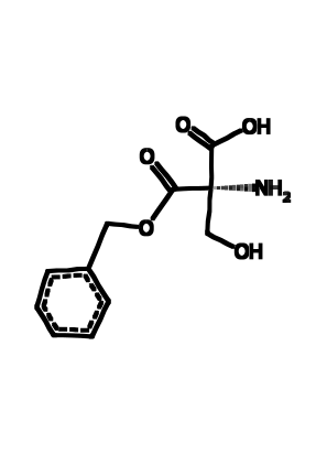 N[C@@](CO)(C(=O)O)C(=O)OCc1ccccc1